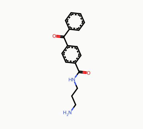 NCCCNC(=O)c1ccc(C(=O)c2ccccc2)cc1